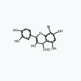 O=CC1C(O)=C(c2ccc(O)c(O)c2)Oc2c(Br)c(O)cc(O)c21